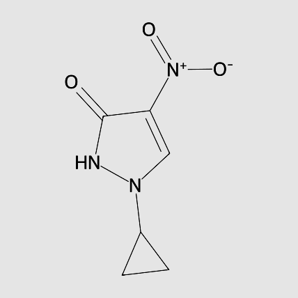 O=c1[nH]n(C2CC2)cc1[N+](=O)[O-]